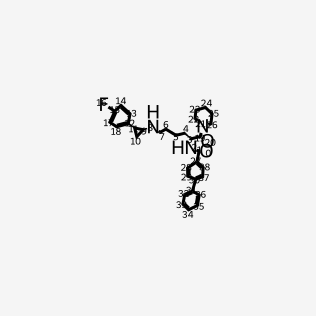 O=C(N[C@@H](CCCCN[C@@H]1C[C@H]1c1ccc(F)cc1)C(=O)N1CCCCC1)c1ccc(-c2ccccc2)cc1